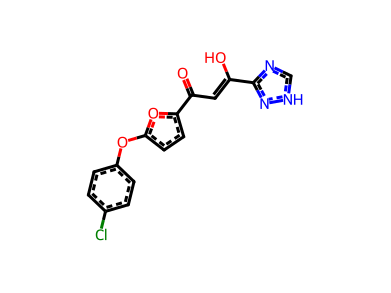 O=C(C=C(O)c1nc[nH]n1)c1ccc(Oc2ccc(Cl)cc2)o1